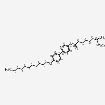 CCCCCCCCCCCOc1ccc(-c2ncc(OC(=O)CCCCCC(C)CC)cn2)cc1